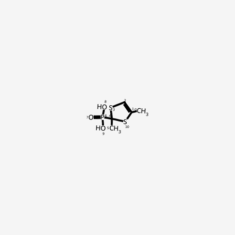 CC1=CSC(C)(P(=O)(O)O)S1